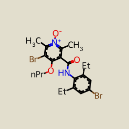 CCCOc1c(Br)c(C)[n+]([O-])c(C)c1C(=O)Nc1c(CC)cc(Br)cc1CC